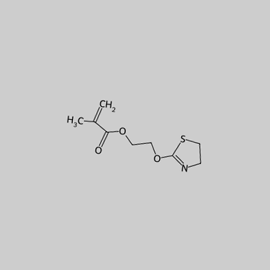 C=C(C)C(=O)OCCOC1=NCCS1